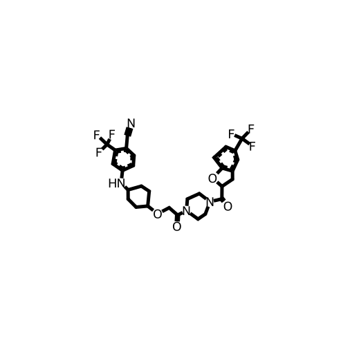 N#Cc1ccc(NC2CCC(OCC(=O)N3CCN(C(=O)C4Cc5cc(C(F)(F)F)ccc5O4)CC3)CC2)cc1C(F)(F)F